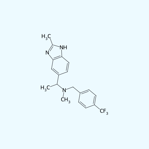 Cc1nc2cc(C(C)N(C)Cc3ccc(C(F)(F)F)cc3)ccc2[nH]1